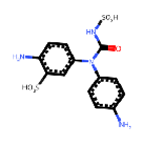 Nc1ccc(N(C(=O)NS(=O)(=O)O)c2ccc(N)c(S(=O)(=O)O)c2)cc1